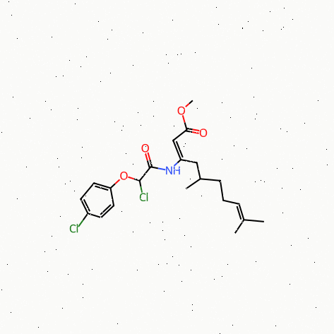 COC(=O)C=C(CC(C)CCC=C(C)C)NC(=O)C(Cl)Oc1ccc(Cl)cc1